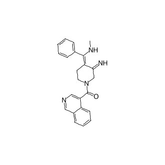 CN/C(=C1/CCN(C(=O)c2cncc3ccccc23)CC1=N)c1ccccc1